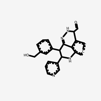 O=CC1NN=C2c3c(cccc31)NC(c1cccnc1)C2c1cccc(CO)c1